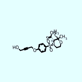 CC1(C)OCCN(S(=O)(=O)c2ccc(OCC#CCO)cc2)[C@@H]1C(O)=S